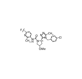 COC1C[C@H](c2nnc(C)n2Cc2ccc(Cl)cc2)N(C(=O)Nc2ccc(C(F)(F)F)nc2C)C1